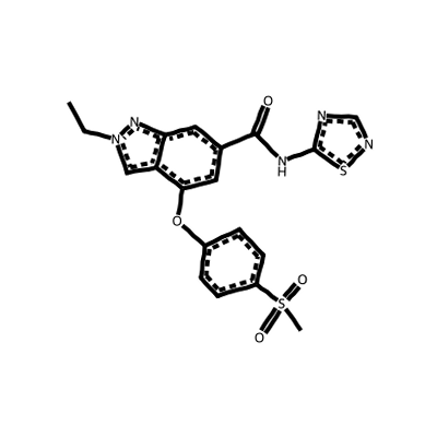 CCn1cc2c(Oc3ccc(S(C)(=O)=O)cc3)cc(C(=O)Nc3ncns3)cc2n1